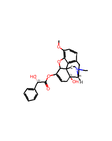 COc1ccc2c3c1OC1C(OC(=O)[C@@H](O)c4ccccc4)=CC[C@@]4(O)[C@@H](C2)N(C)CCC314